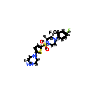 C[C@@H]1CN(c2ccc(S(=O)(=O)N3CCN(c4ccc(F)cc4C(F)(F)F)C[C@H]3C)s2)CCN1